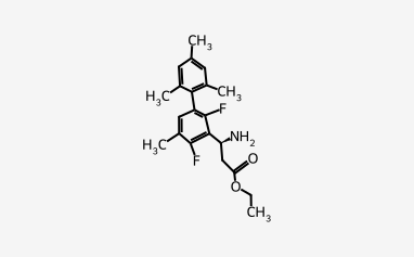 CCOC(=O)C[C@H](N)c1c(F)c(C)cc(-c2c(C)cc(C)cc2C)c1F